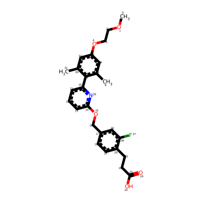 COCCOc1cc(C)c(-c2cccc(OCc3ccc(CCC(=O)O)c(F)c3)n2)c(C)c1